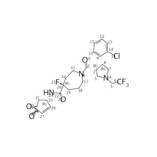 O=C([C@H]1CN(CC(F)(F)F)C[C@H]1c1ccccc1Cl)N1CCC[C@](F)(C(=O)N[C@@H]2C=CS(=O)(=O)C2)CC1